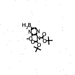 Bc1cnc(N(C(=O)OC(C)(C)C)C(=O)OC(C)(C)C)c(OC)n1